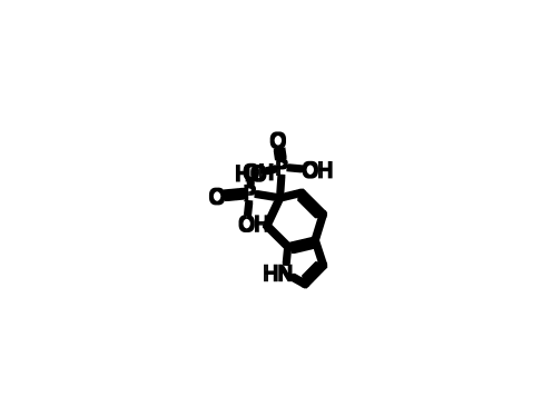 O=P(O)(O)C1(P(=O)(O)O)C=Cc2cc[nH]c2C1